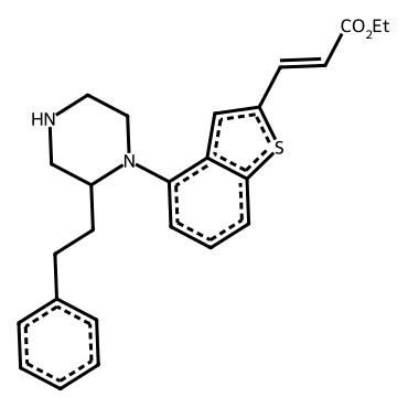 CCOC(=O)C=Cc1cc2c(N3CCNCC3CCc3ccccc3)cccc2s1